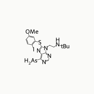 COc1ccc(I)c(Sc2nc3c([AsH2])ncnc3n2CCNC(C)(C)C)c1